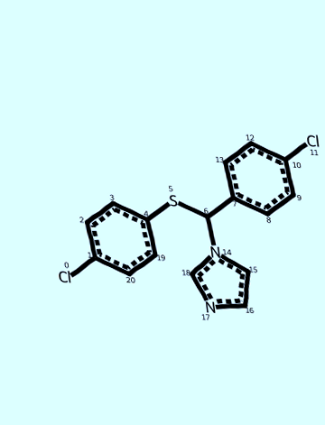 Clc1ccc(SC(c2ccc(Cl)cc2)n2ccnc2)cc1